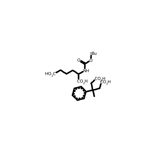 CC(C)(C)OC(=O)NC(CCCC(=O)O)C(=O)O.CC(CC(=O)O)(CC(=O)O)c1ccccc1